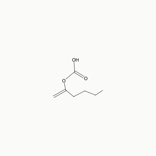 C=C(CCCC)OC(=O)O